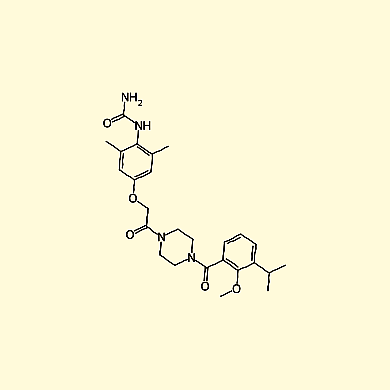 COc1c(C(=O)N2CCN(C(=O)COc3cc(C)c(NC(N)=O)c(C)c3)CC2)cccc1C(C)C